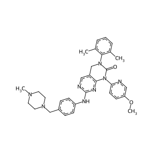 COc1ccc(N2C(=O)N(c3c(C)cccc3C)Cc3cnc(Nc4ccc(CN5CCN(C)CC5)cc4)nc32)nc1